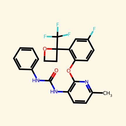 Cc1ccc(NC(=O)Nc2ccccc2)c(Oc2ccc(F)cc2C2(C(F)(F)F)CCO2)n1